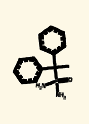 CC(c1ccccc1)(c1ccccc1)P(N)(N)=O